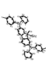 Cc1ccc(N(c2ccccc2)c2ccc3c(c2)C(C)(S)c2cc(N(c4ccccc4)c4ccc(C)cc4)ccc2-3)cc1